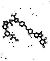 C[C@@H]1CN(CCN2CCC(n3cc(NC(=O)c4cnn5ccc(N6C[C@H](F)C[C@@H](NC(=O)OC(C)(C)C)C6)nc45)c(C(F)F)n3)CC2)CCN1c1ccc2c(C3CCC(=O)NC3=O)nn(C)c2c1